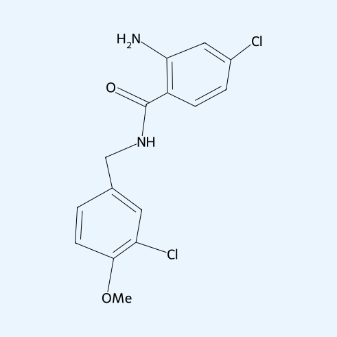 COc1ccc(CNC(=O)c2ccc(Cl)cc2N)cc1Cl